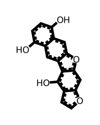 Oc1ccc(O)c2cc3c(cc12)oc1cc2occc2c(O)c13